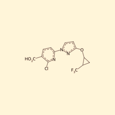 O=C(O)c1ccc(-n2ccc(OC3CC3C(F)(F)F)n2)nc1Cl